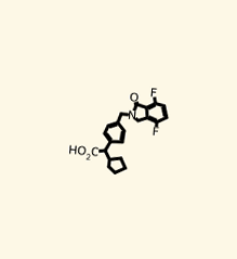 O=C(O)C(c1ccc(CN2Cc3c(F)ccc(F)c3C2=O)cc1)C1CCCC1